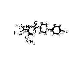 COC(=O)[C@H](NS(=O)(=O)N1CCN(c2ccc(I)cc2)CC1)C(C)C